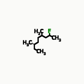 CC[C@H](C)CCC(C)CC(C)F